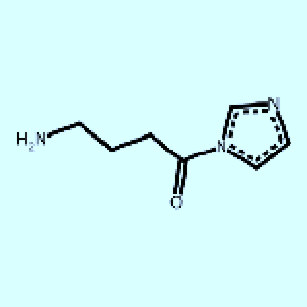 NCCCC(=O)n1ccnc1